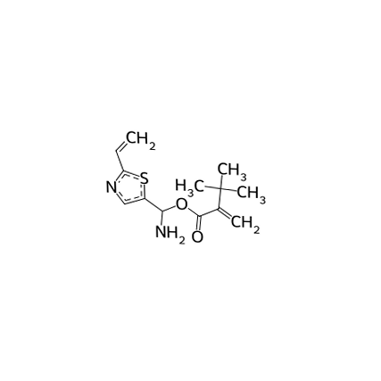 C=Cc1ncc(C(N)OC(=O)C(=C)C(C)(C)C)s1